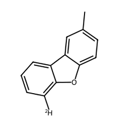 [2H]c1cccc2c1oc1ccc(C)cc12